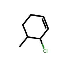 CC1CCC=CC1Cl